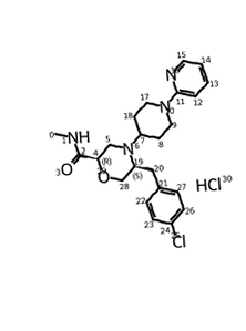 CNC(=O)[C@H]1CN(C2CCN(c3ccccn3)CC2)[C@@H](Cc2ccc(Cl)cc2)CO1.Cl